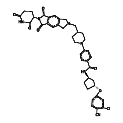 N#Cc1ccc(O[C@@H]2CC[C@@H](NC(=O)c3ccc(N4CCC(CN5Cc6cc7c(cc6C5)C(=O)N(C5CCC(=O)NC5=O)C7=O)CC4)cc3)C2)cc1Cl